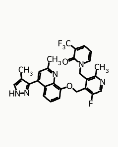 Cc1cc(-c2n[nH]cc2C)c2cccc(OCc3c(F)cnc(C)c3Cn3cccc(C(F)(F)F)c3=O)c2n1